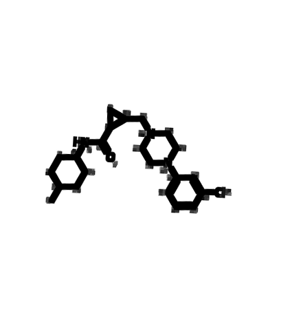 CC1CCC(NC(=O)C2CC2CN2CCN(c3cccc(Cl)c3)CC2)CC1